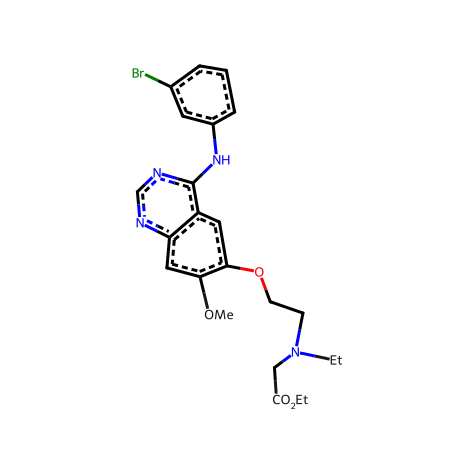 CCOC(=O)CN(CC)CCOc1cc2c(Nc3cccc(Br)c3)ncnc2cc1OC